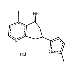 Cc1ccc(C2CC(=N)c3c(C)ccnc3C2)s1.Cl